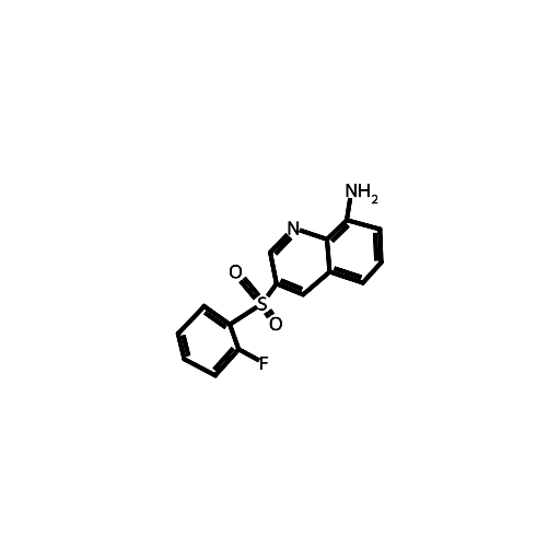 Nc1cccc2cc(S(=O)(=O)c3ccccc3F)cnc12